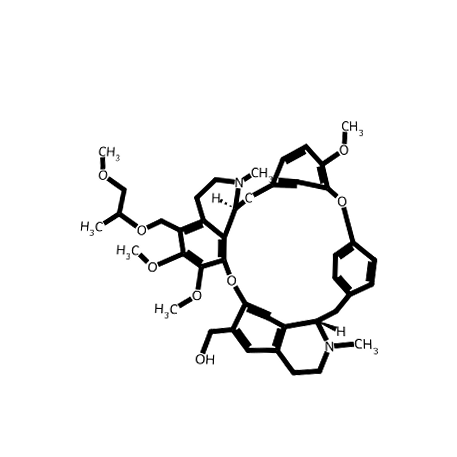 COCC(C)OCc1c2c3c(c(OC)c1OC)Oc1cc4c(cc1CO)CCN(C)[C@H]4Cc1ccc(cc1)Oc1cc(ccc1OC)C[C@@H]3N(C)CC2